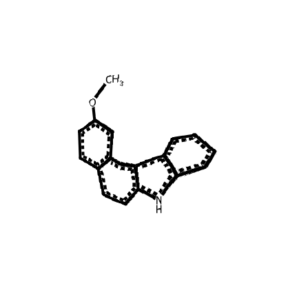 COc1ccc2ccc3[nH]c4ccccc4c3c2c1